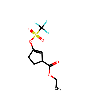 CCOC(=O)C1C=C(OS(=O)(=O)C(F)(F)F)CC1